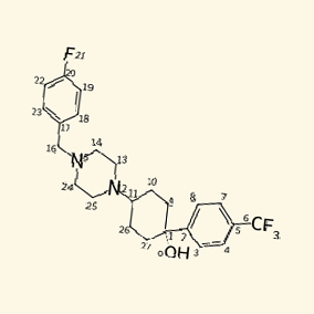 OC1(c2ccc(C(F)(F)F)cc2)CCC(N2CCN(Cc3ccc(F)cc3)CC2)CC1